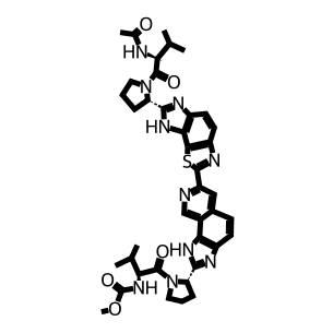 COC(=O)N[C@H](C(=O)N1CCC[C@H]1c1nc2ccc3cc(-c4nc5ccc6nc([C@@H]7CCCN7C(=O)[C@@H](NC(C)=O)C(C)C)[nH]c6c5s4)ncc3c2[nH]1)C(C)C